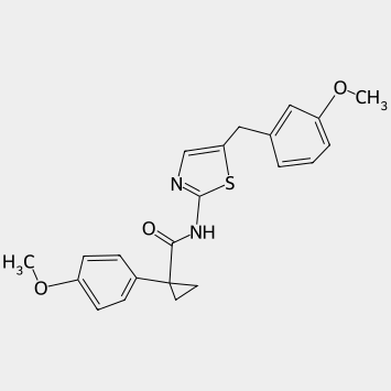 COc1ccc(C2(C(=O)Nc3ncc(Cc4cccc(OC)c4)s3)CC2)cc1